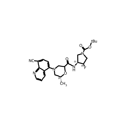 C[C@@H]1CN(c2ccc(C#N)c3ncccc23)CC(C(=O)N[C@H]2CN(C(=O)OC(C)(C)C)C[C@H]2F)O1